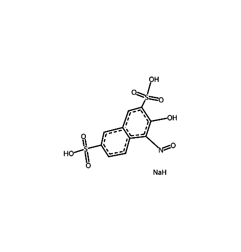 O=Nc1c(O)c(S(=O)(=O)O)cc2cc(S(=O)(=O)O)ccc12.[NaH]